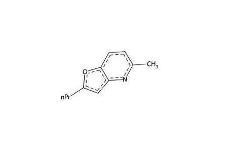 CCCc1cc2nc(C)ccc2o1